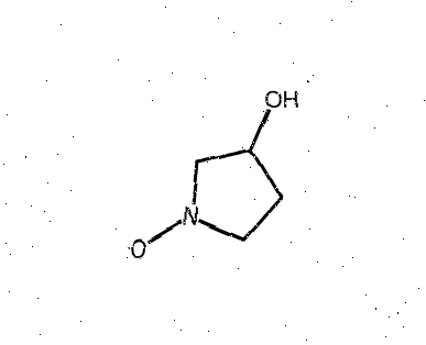 [O]N1CCC(O)C1